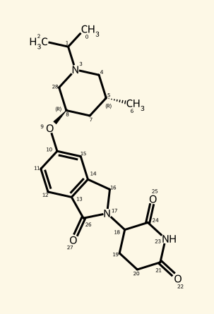 CC(C)N1C[C@H](C)C[C@@H](Oc2ccc3c(c2)CN(C2CCC(=O)NC2=O)C3=O)C1